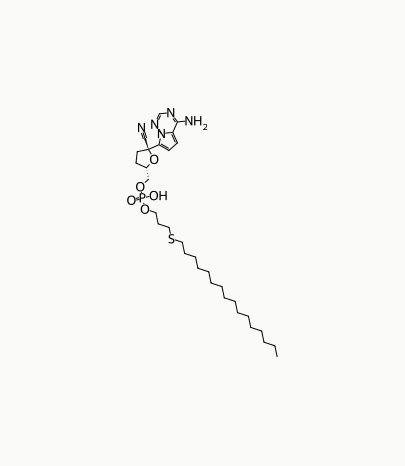 CCCCCCCCCCCCCCCCSCCCOP(=O)(O)OC[C@@H]1CC[C@](C#N)(c2ccc3c(N)ncnn23)O1